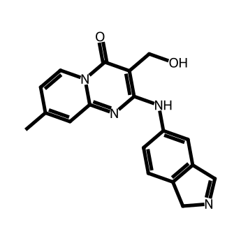 Cc1ccn2c(=O)c(CO)c(Nc3ccc4c(c3)C=NC4)nc2c1